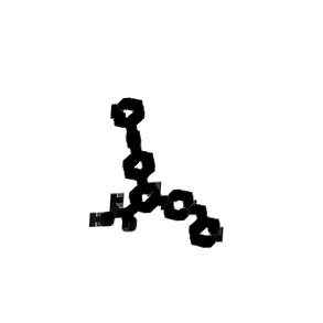 O=C(NO)c1cc(-c2ccc(C#Cc3cccnc3)cc2)nc(N2CCN(Cc3cccnc3)CC2)c1